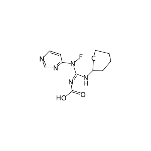 O=C(O)N=C(NC1CCCCC1)N(F)c1ccncn1